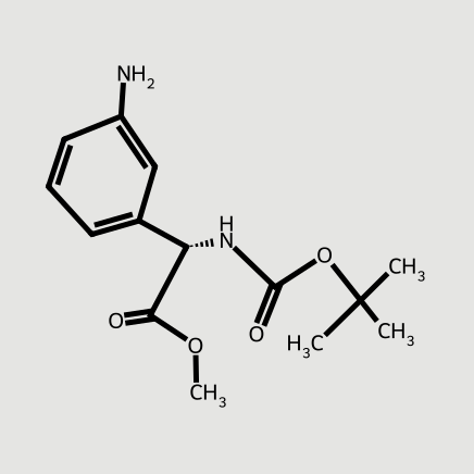 COC(=O)[C@@H](NC(=O)OC(C)(C)C)c1cccc(N)c1